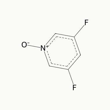 [O-][n+]1cc(F)cc(F)c1